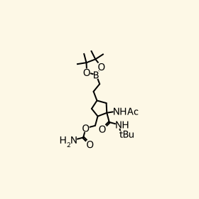 CC(=O)NC1(C(=O)NC(C)(C)C)CC(CCB2OC(C)(C)C(C)(C)O2)CC1COC(N)=O